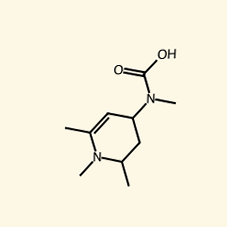 CC1=CC(N(C)C(=O)O)CC(C)N1C